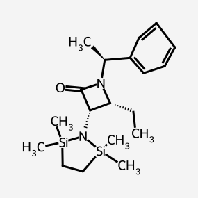 CC[C@@H]1[C@H](N2[Si](C)(C)CC[Si]2(C)C)C(=O)N1[C@@H](C)c1ccccc1